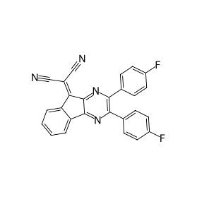 N#CC(C#N)=C1c2ccccc2-c2nc(-c3ccc(F)cc3)c(-c3ccc(F)cc3)nc21